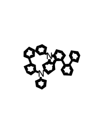 c1ccc(-c2cccc(N(c3ccccc3)c3ccc4c5c(-c6ccccc6-c6ccccc6)cccc5n(-c5ccccc5)c4c3)c2)cc1